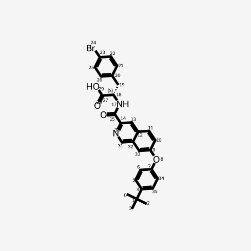 CC(C)(C)c1ccc(Oc2ccc3cc(C(=O)N[C@@H](Cc4ccc(Br)cc4)C(=O)O)ncc3c2)cc1